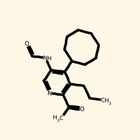 CCCc1c(C(C)=O)ncc(NC=O)c1C1CCCCCCC1